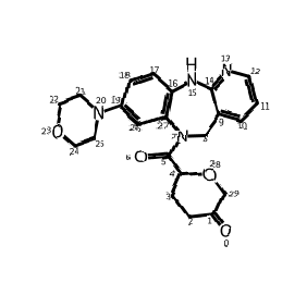 O=C1CCC(C(=O)N2Cc3cccnc3Nc3ccc(N4CCOCC4)cc32)OC1